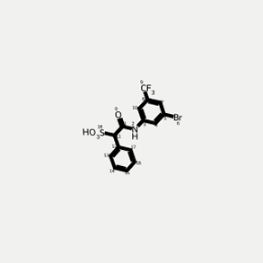 O=C(Nc1cc(Br)cc(C(F)(F)F)c1)C(c1ccccc1)S(=O)(=O)O